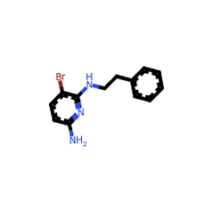 Nc1ccc(Br)c(NCCc2ccccc2)n1